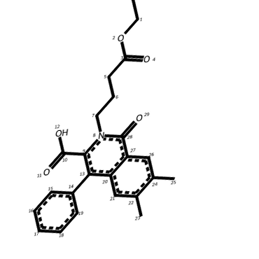 CCOC(=O)CCCn1c(C(=O)O)c(-c2ccccc2)c2cc(C)c(C)cc2c1=O